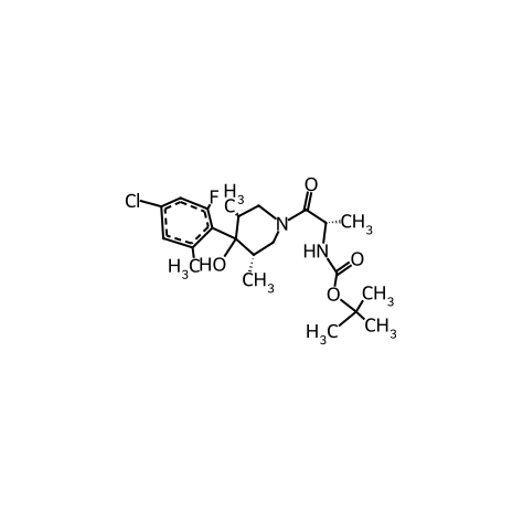 Cc1cc(Cl)cc(F)c1C1(O)[C@H](C)CN(C(=O)[C@H](C)NC(=O)OC(C)(C)C)C[C@@H]1C